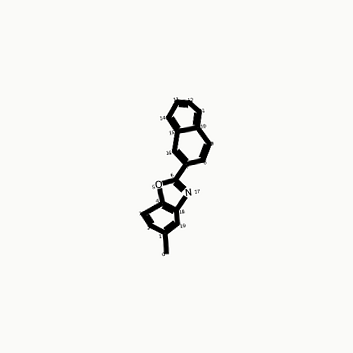 Cc1ccc2oc(-c3ccc4ccccc4c3)nc2c1